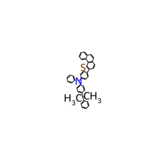 CC(C)(c1ccccc1)c1ccc(N(c2ccccc2)c2ccc3c(c2)sc2c3ccc3ccc4ccccc4c32)cc1